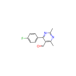 Cc1nc(C)c(C=O)c(-c2ccc(F)cc2)n1